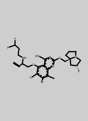 C=CC(COc1c(Cl)c(Br)c(F)c2nc(OC[C@@]34CCCN3C[C@H](F)C4)nc(O)c12)NCCC(F)F